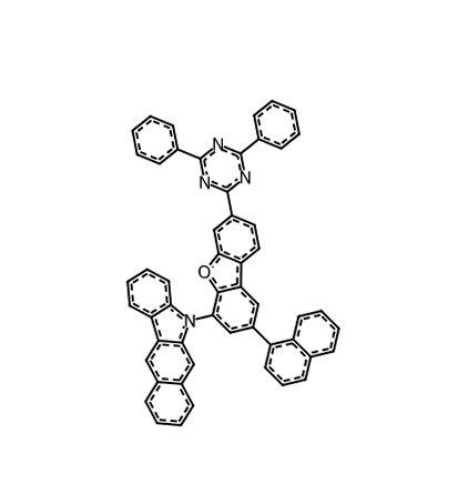 c1ccc(-c2nc(-c3ccccc3)nc(-c3ccc4c(c3)oc3c(-n5c6ccccc6c6cc7ccccc7cc65)cc(-c5cccc6ccccc56)cc34)n2)cc1